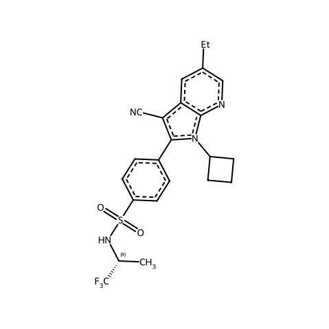 CCc1cnc2c(c1)c(C#N)c(-c1ccc(S(=O)(=O)N[C@H](C)C(F)(F)F)cc1)n2C1CCC1